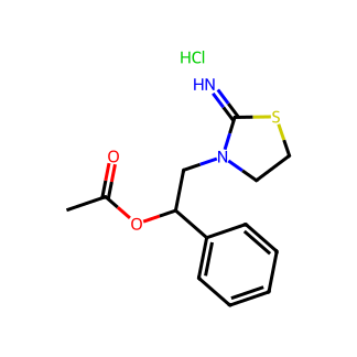 CC(=O)OC(CN1CCSC1=N)c1ccccc1.Cl